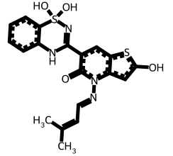 CC(C)=CC=Nn1c(=O)c(C2=NS(O)(O)c3ccccc3N2)cc2sc(O)cc21